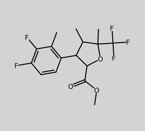 COC(=O)C1OC(C)(C(F)(F)F)C(C)C1c1ccc(F)c(F)c1C